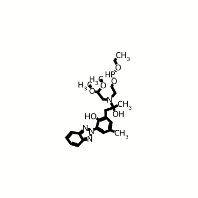 CCOPOCCN(CC(OC)OC)C(C)(O)Cc1cc(C)cc(-n2nc3ccccc3n2)c1O